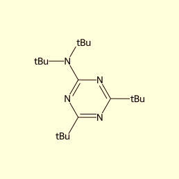 CC(C)(C)c1nc(N(C(C)(C)C)C(C)(C)C)nc(C(C)(C)C)n1